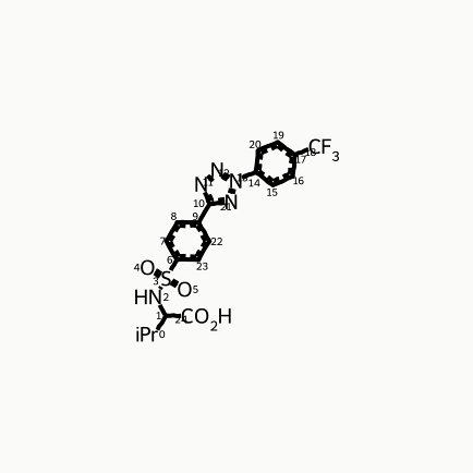 CC(C)C(NS(=O)(=O)c1ccc(-c2nnn(-c3ccc(C(F)(F)F)cc3)n2)cc1)C(=O)O